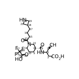 C#CC(CC(=O)O)NC(=O)[C@@H]1CCCN(C(=O)CCCC2CNC2)C1.O=C(O)C(F)(F)F